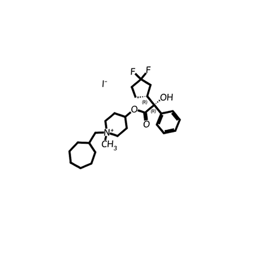 C[N+]1(CC2CCCCCC2)CCC(OC(=O)[C@](O)(c2ccccc2)[C@@H]2CCC(F)(F)C2)CC1.[I-]